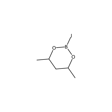 CC1CC(C)OB(I)O1